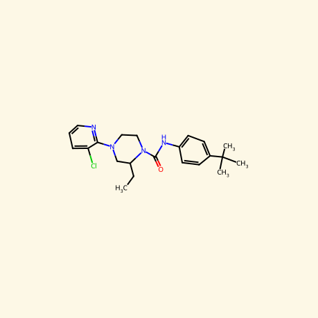 CCC1CN(c2ncccc2Cl)CCN1C(=O)Nc1ccc(C(C)(C)C)cc1